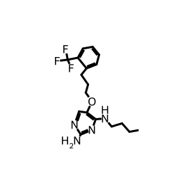 CCCCNc1nc(N)ncc1OCCCc1ccccc1C(F)(F)F